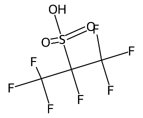 O=S(=O)(O)C(F)(C(F)(F)F)C(F)(F)F